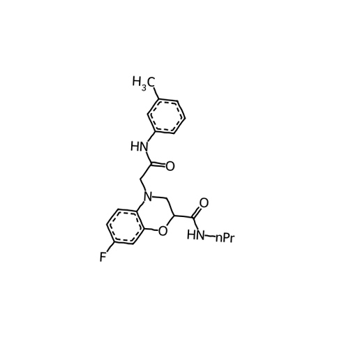 CCCNC(=O)C1CN(CC(=O)Nc2cccc(C)c2)c2ccc(F)cc2O1